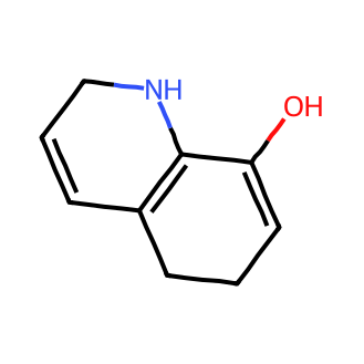 OC1=CCCC2=C1NCC=C2